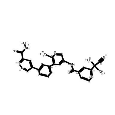 CNC(=O)c1cc(-c2cccc(-c3cc(NC(=O)c4ccnc(C(C)(C)C#N)c4)cnc3C)c2)cnn1